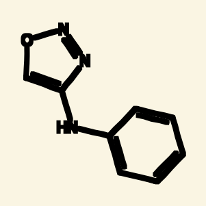 c1ccc(Nc2conn2)cc1